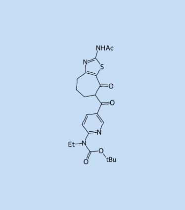 CCN(C(=O)OC(C)(C)C)c1ccc(C(=O)C2CCCc3nc(NC(C)=O)sc3C2=O)cn1